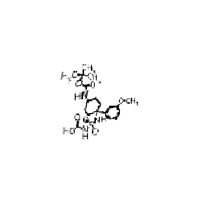 COc1cccc([C@]2(NS(=O)(=O)NC(=O)O)CC[C@@H](NC(=O)OC(C)(C)C)CC2)c1